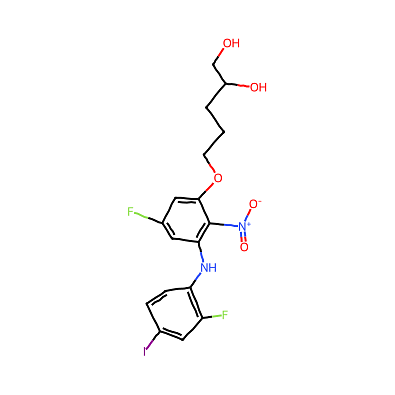 O=[N+]([O-])c1c(Nc2ccc(I)cc2F)cc(F)cc1OCCCC(O)CO